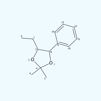 CCC1OC(C)(C)OC1c1ccccc1